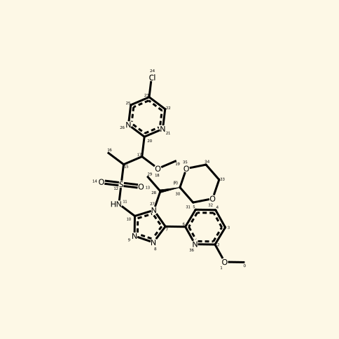 COc1cccc(-c2nnc(NS(=O)(=O)C(C)C(OC)c3ncc(Cl)cn3)n2C(C)[C@@H]2COCCO2)n1